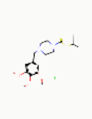 COc1cc(CN2CCN(C(=S)SC(C)C)CC2)cc(OC)c1OC.Cl